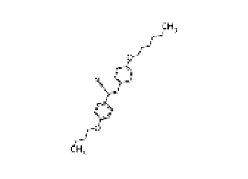 CCCCCCOc1ccc(C=C(C#N)c2ccc(OCCCC)cc2)cc1